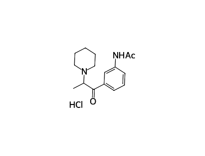 CC(=O)Nc1cccc(C(=O)C(C)N2CCCCC2)c1.Cl